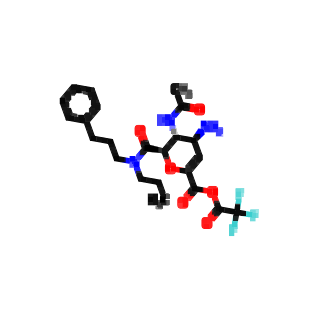 CCCN(CCCc1ccccc1)C(=O)[C@@H]1OC(C(=O)OC(=O)C(F)(F)F)=C[C@H](N)[C@H]1NC(C)=O